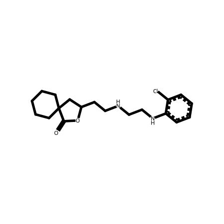 O=C1OC(CCNCCNc2ccccc2Cl)CC12CCCCC2